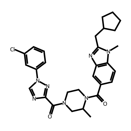 CC1CN(C(=O)c2ncn(-c3cccc(Cl)c3)n2)CCN1C(=O)c1ccc2c(c1)nc(CC1CCCC1)n2C